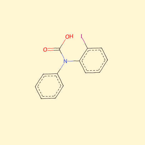 O=C(O)N(c1ccccc1)c1ccccc1I